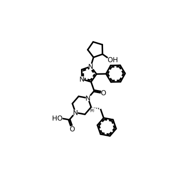 O=C(O)N1CCN(C(=O)c2ncn(C3CCCC3O)c2-c2ccccc2)[C@H](Cc2ccccc2)C1